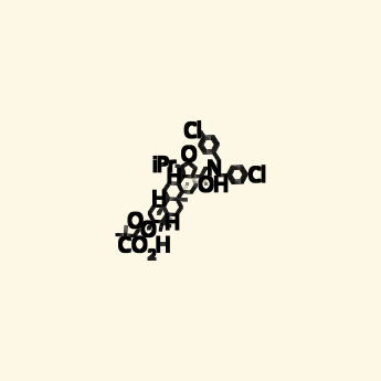 CC(C)C1=C2[C@H]3CC[C@@H]4[C@@]5(C)CC[C@H](OC(=O)CC(C)(C)C(=O)O)C(C)(C)[C@@H]5CC[C@@]4(C)[C@]3(C)CC[C@@]2([C@@H](O)CN(Cc2ccc(Cl)cc2)Cc2ccc(Cl)cc2)CC1=O